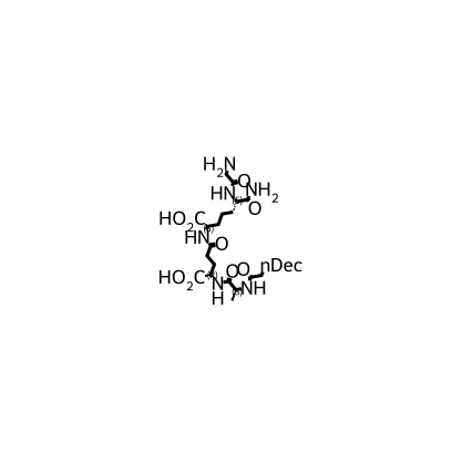 CCCCCCCCCCCC(=O)N[C@@H](C)C(=O)N[C@H](CCC(=O)N[C@@H](CCC[C@H](NC(=O)CN)C(N)=O)C(=O)O)C(=O)O